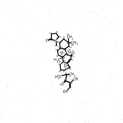 CC/C=C(/C#N)C(=O)C(C)(C)[C@@H]1CC[C@]2(C)C(=CC(=O)[C@@H]3[C@@H]4CC(C)(C)CC[C@]4(CN4CCCC4=O)CC[C@]32C)C1